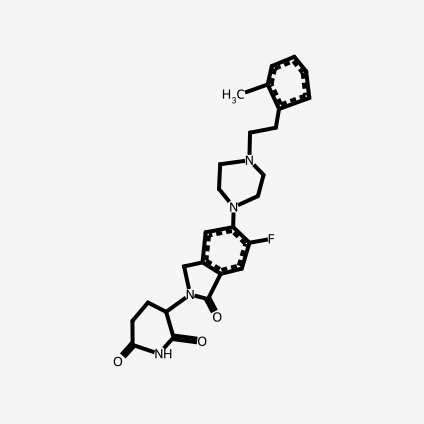 Cc1ccccc1CCN1CCN(c2cc3c(cc2F)C(=O)N(C2CCC(=O)NC2=O)C3)CC1